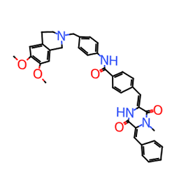 COc1cc2c(cc1OC)CN(Cc1ccc(NC(=O)c3ccc(C=c4[nH]c(=O)c(=Cc5ccccc5)n(C)c4=O)cc3)cc1)CC2